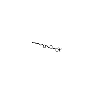 CCCCCCOCCOCCOC(C)(C)C